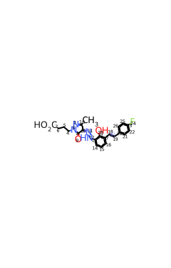 CC1=NN(CCCC(=O)O)C(=O)/C1=N\Nc1cccc(/C=C/c2ccc(F)cc2)c1O